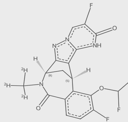 [2H]C([2H])([2H])N1C(=O)c2ccc(F)c(OC(F)F)c2[C@H]2C[C@@H]1c1nn3cc(F)c(=O)[nH]c3c12